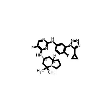 CC1(C)C[C@H](Nc2nc(Nc3ccc(F)c(-n4nnnc4C4CC4)c3)ncc2F)C[C@@H]2CCCN21